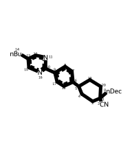 CCCCCCCCCCC1(C#N)CCC(c2ccc(-c3ncc(CCCC)cn3)cc2)CC1